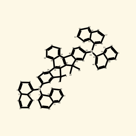 CC1(C)c2cc(N(C3=CC=CC4C=CC=CC34)c3cccc4ccccc34)ccc2-c2c1c1c(c3ccccc23)-c2ccc(N(c3cccc4ccccc34)c3cccc4ccccc34)cc2C1(C)C